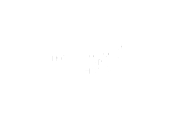 CCCOP(O)(=S)OCC